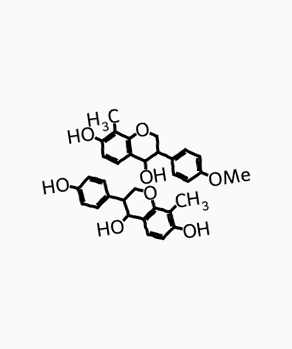 COc1ccc(C2COc3c(ccc(O)c3C)C2O)cc1.Cc1c(O)ccc2c1OCC(c1ccc(O)cc1)C2O